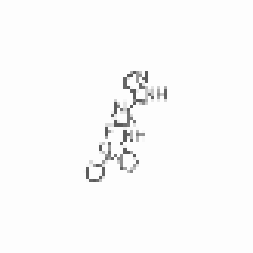 O=C(c1ccccc1)N1CCCCC1CNc1nc(-c2c[nH]c3ncccc23)ncc1F